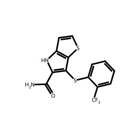 NC(=O)c1[nH]c2ccsc2c1Sc1ccccc1C(F)(F)F